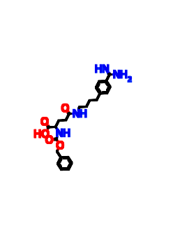 N=C(N)c1ccc(CCCCNC(=O)CCC(NC(=O)OCc2ccccc2)C(=O)O)cc1